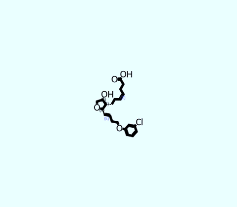 O=C(O)CC/C=C\CC[C@H]1[C@@H](O)CO[C@@H]1/C=C/CCOc1cccc(Cl)c1